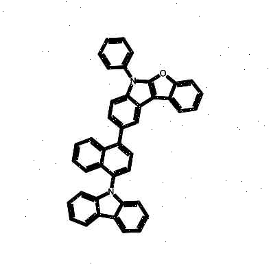 c1ccc(-n2c3ccc(-c4ccc(-n5c6ccccc6c6ccccc65)c5ccccc45)cc3c3c4ccccc4oc32)cc1